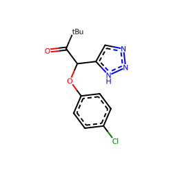 CC(C)(C)C(=O)C(Oc1ccc(Cl)cc1)c1cnn[nH]1